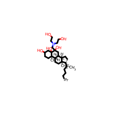 CC(C)CCC[C@@H](C)[C@H]1CC[C@H]2[C@@H]3CC(O)(CN(CCO)CCO)C4(O)CC(O)CC[C@]4(C)[C@H]3CC[C@]12C